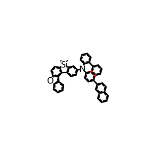 C[Si]1(C)c2cc(N(c3ccc(-c4ccc5ccccc5c4)cc3)c3ccccc3-c3ccccc3)ccc2-c2c1ccc1oc3ccccc3c21